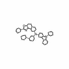 c1ccc(-c2cccc(N(c3ccc4ccc5oc(-c6ccccc6)nc5c4c3)c3ccc4c(c3)c3ccccc3n4-c3ccccc3)c2)cc1